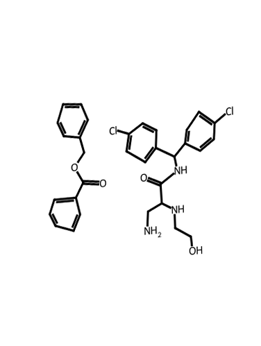 NCC(NCCO)C(=O)NC(c1ccc(Cl)cc1)c1ccc(Cl)cc1.O=C(OCc1ccccc1)c1ccccc1